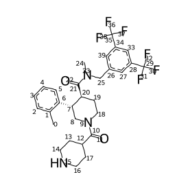 Cc1ccccc1[C@H]1CN(C(=O)C2CCNCC2)CC[C@@H]1C(=O)N(C)Cc1cc(C(F)(F)F)cc(C(F)(F)F)c1